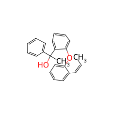 C/C=C\c1ccccc1Oc1ccccc1C(C)(O)c1ccccc1